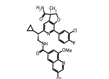 COc1cc(C(=O)NC[C@H](c2cc3c(c(-c4ccc(F)c(Cl)c4)n2)OC[C@]3(C)C(N)=O)C2CC2)cc2cc(C(F)(F)F)cnc12